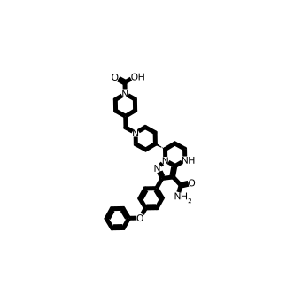 NC(=O)c1c(-c2ccc(Oc3ccccc3)cc2)nn2c1NCC[C@H]2C1CCN(CC2CCN(C(=O)O)CC2)CC1